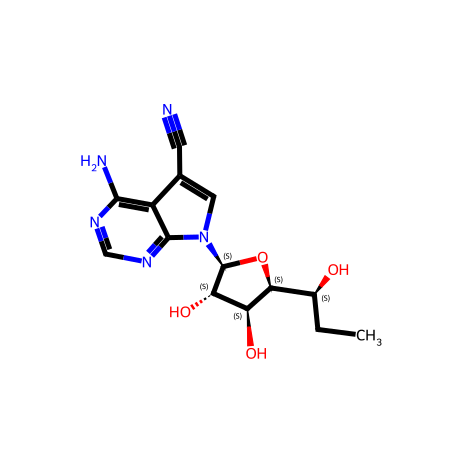 CC[C@H](O)[C@@H]1O[C@H](n2cc(C#N)c3c(N)ncnc32)[C@@H](O)[C@@H]1O